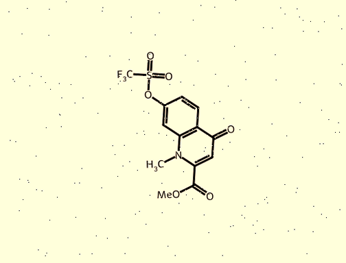 COC(=O)c1cc(=O)c2ccc(OS(=O)(=O)C(F)(F)F)cc2n1C